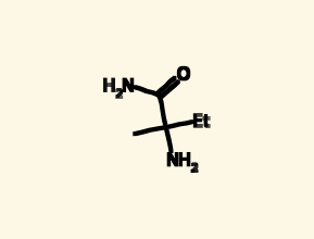 CCC(C)(N)C(N)=O